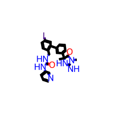 CN1C(=N)NC(C)(c2cccc(-c3cc(I)ccc3CNC(=O)Nc3cccnc3)c2)C1=O